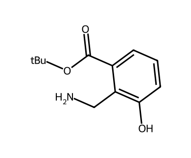 CC(C)(C)OC(=O)c1cccc(O)c1CN